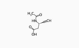 C#C[C@@H](CC(=O)O)NC(C)=O